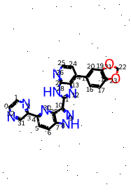 c1cnc(-c2ccc3[nH]nc(-c4nc5c(-c6ccc7c(c6)OCO7)ccnc5[nH]4)c3n2)cn1